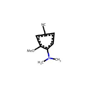 [C-]#[N+]c1ccc(N(C)C)c(OC)c1